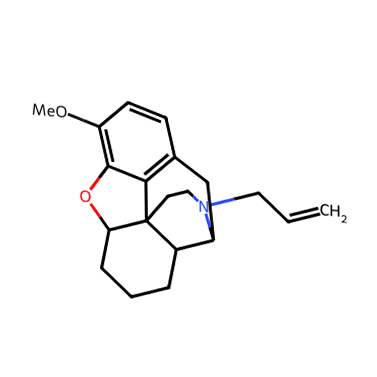 C=CCN1CCC23c4c5ccc(OC)c4OC2CCCC3C1C5